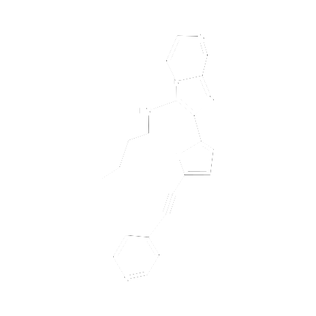 CCCCNc1c(-c2ccc(C#Cc3ccncc3)s2)nc2cnccn12